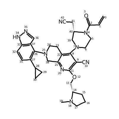 C=CC(=O)N1CCN(c2c(C#N)c(OC[C@@H]3CCCN3C)nc3c2CCN(c2c(C4CC4)ccc4[nH]ncc24)C3)C[C@@H]1CC#N